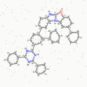 c1ccc(-c2ccc3oc4nc5ccc(-c6ccc(-c7nc(-c8ccccc8)nc(-c8ccccc8)n7)cc6-c6ccccc6)cc5n4c3c2)cc1